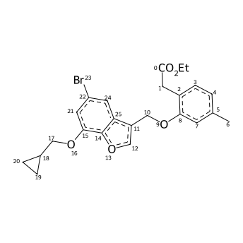 CCOC(=O)Cc1ccc(C)cc1OCc1coc2c(OCC3CC3)cc(Br)cc12